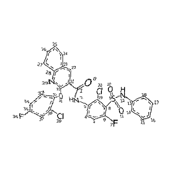 O=C(Nc1ccc(F)c(S(=O)(=O)Nc2ccccc2)c1Cl)c1cc2ccccc2nc1Oc1ccc(F)cc1Cl